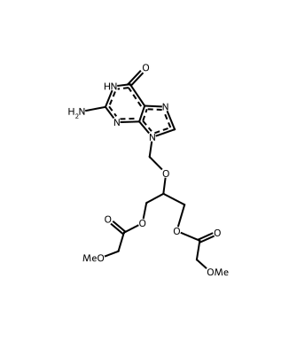 COCC(=O)OCC(COC(=O)COC)OCn1cnc2c(=O)[nH]c(N)nc21